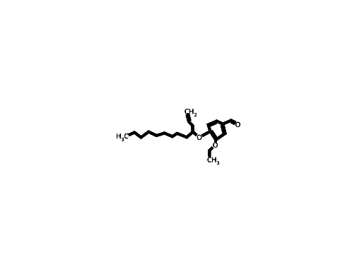 C=CCC(CCCCCCCCC)Oc1ccc(C=O)cc1OCC